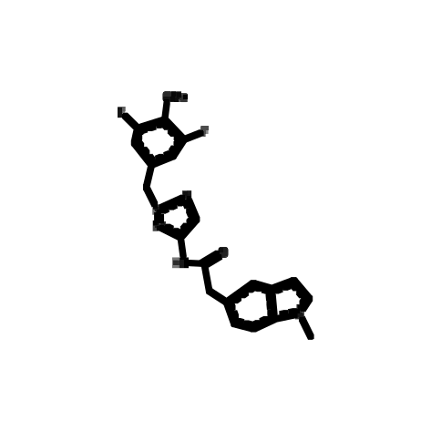 COc1c(F)cc(Cn2ncc(NC(=O)Cc3ccc4c(ccn4C)c3)n2)cc1F